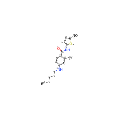 CC(C)CCCCNc1ccc(C(=O)Nc2ccc(N=O)s2)c(C(C)C)c1